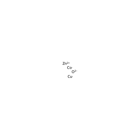 [Co].[Cu].[O-2].[Zn+2]